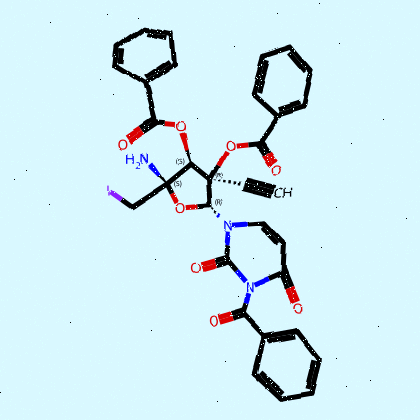 C#C[C@]1(OC(=O)c2ccccc2)[C@H](n2ccc(=O)n(C(=O)c3ccccc3)c2=O)O[C@](N)(CI)[C@H]1OC(=O)c1ccccc1